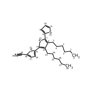 CCCCCCc1c(-c2cccs2)sc(-c2ccc(C#N)s2)c1CCCCCC